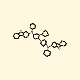 c1ccc(-c2cc(N(c3ccccc3)c3ccc4c(c3)oc3ccccc34)ccc2-c2ccc(N(c3ccccc3)c3ccc4c(c3)oc3ccccc34)cc2)cc1